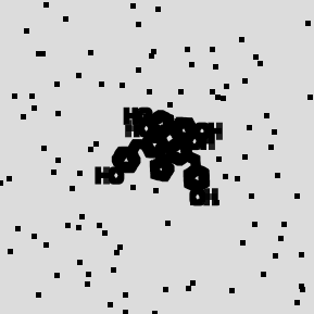 Oc1ccc(Cc2cc(C3(c4cc(Cc5ccc(O)cc5)c(O)c(Cc5ccc(O)cc5)c4)CCCC3)cc(Cc3ccc(O)cc3)c2O)cc1